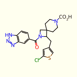 O=C(O)N1CCC2(CC1)CN(C(=O)c1ccc3[nH]nnc3c1)C2Cc1csc(Cl)c1